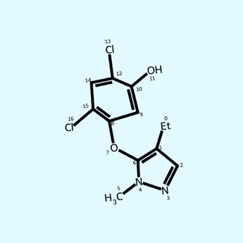 CCc1cnn(C)c1Oc1cc(O)c(Cl)cc1Cl